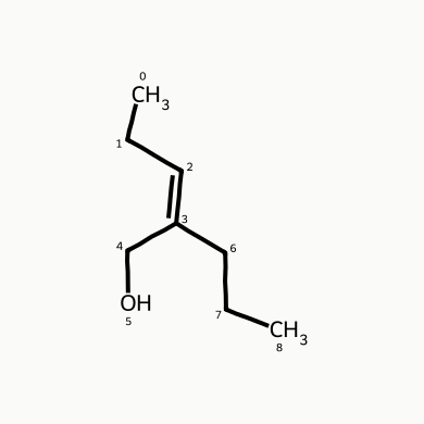 CC/C=C(\CO)CCC